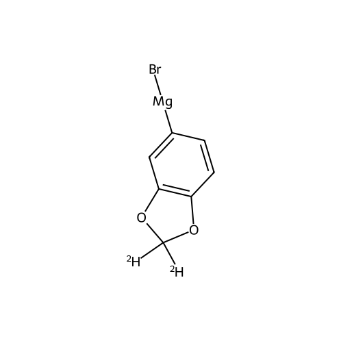 [2H]C1([2H])Oc2cc[c]([Mg][Br])cc2O1